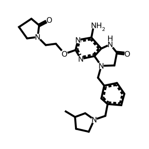 CC1CCN(Cc2cccc(CN3CC(=O)Nc4c(N)nc(OCCN5CCCC5=O)nc43)c2)C1